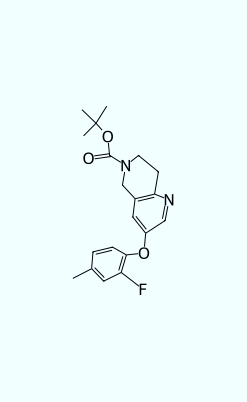 Cc1ccc(Oc2cnc3c(c2)CN(C(=O)OC(C)(C)C)CC3)c(F)c1